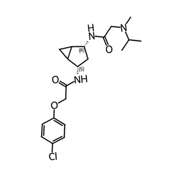 CC(C)N(C)CC(=O)N[C@@H]1C[C@H](NC(=O)COc2ccc(Cl)cc2)C2CC21